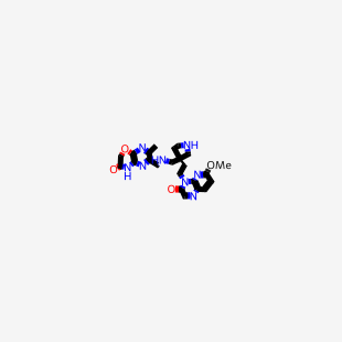 COc1ccc2ncc(=O)n(CC[C@@]3(CNCc4nc5c(nc4C)OCC(=O)N5)CCNC3)c2n1